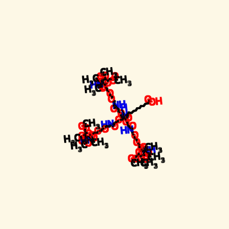 CC(=O)NC1C(OCCOCCOCCNC(=O)CCOCC(COCCC(=O)NCCOCCOCCOC2OC(COC(C)=O)C(OC(C)=O)C(OC(C)=O)C2NC(C)=O)(COCCC(=O)NCCOCCOCCOC2OC(COC(C)=O)C(OC(C)=O)C(OC(C)=O)C2NC(C)=O)NC(=O)CCCCCCCCCCC(=O)O)OC(COC(C)=O)C(OC(C)=O)C1OC(C)=O